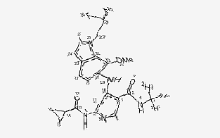 [2H]C([2H])([2H])NC(=O)c1cnc(NC(=O)C2CC2)cc1Nc1ccc2cnn(CC(F)F)c2c1OC